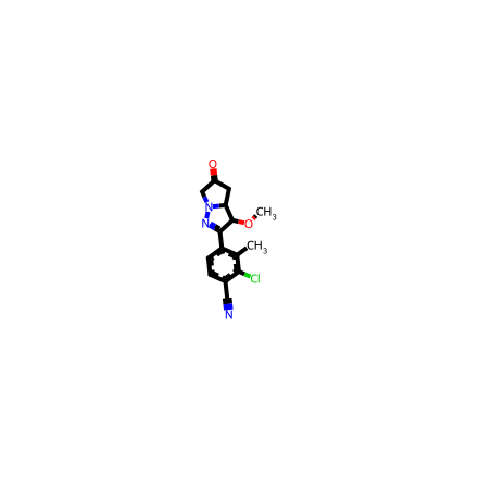 COC1C(c2ccc(C#N)c(Cl)c2C)=NN2CC(=O)CC12